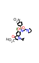 O=C(O)c1cn(C2CC2)c2cc(N(CCN3CCCC3)S(=O)(=O)c3ccc([N+](=O)[O-])cc3)c(F)cc2c1=O